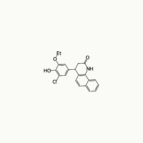 CCOc1cc(C2CC(=O)Nc3c2ccc2ccccc32)cc(Cl)c1O